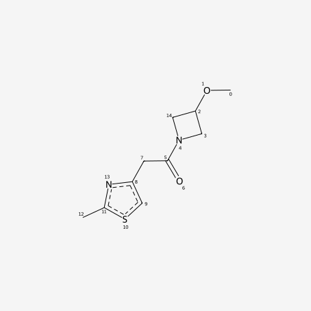 COC1CN(C(=O)Cc2csc(C)n2)C1